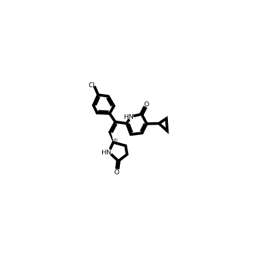 O=C1CC[C@H](C=C(c2ccc(Cl)cc2)c2ccc(C3CC3)c(=O)[nH]2)N1